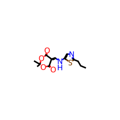 CCCc1ncc(NC=C2C(=O)OC(C)(C)OC2=O)s1